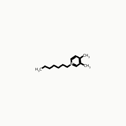 CCCCCCC[n+]1ccc(C)c(C)c1